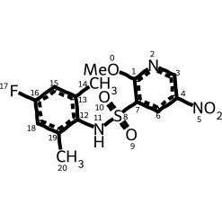 COc1ncc([N+](=O)[O-])cc1S(=O)(=O)Nc1c(C)cc(F)cc1C